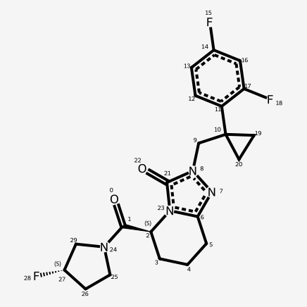 O=C([C@@H]1CCCc2nn(CC3(c4ccc(F)cc4F)CC3)c(=O)n21)N1CC[C@H](F)C1